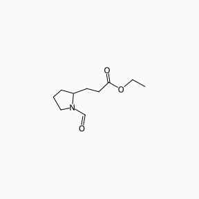 CCOC(=O)CCC1CCCN1C=O